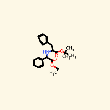 CCOC(=O)C(NC(Cc1ccccc1)C(=O)OC(C)(C)C)c1ccccc1